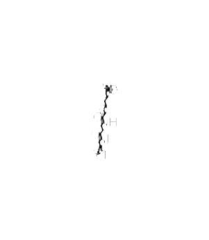 COC(=O)CNC(=O)CCNC(=O)COCCCO[N+](=O)[O-]